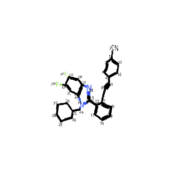 N#Cc1ccc(C#Cc2ccccc2-c2nc3cc(F)c(F)cc3n2CC2CCCCC2)cc1